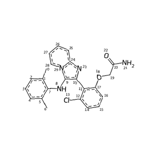 Cc1cccc(C)c1Nc1c(-c2c(Cl)cccc2OCC(N)=O)nc2ccccn12